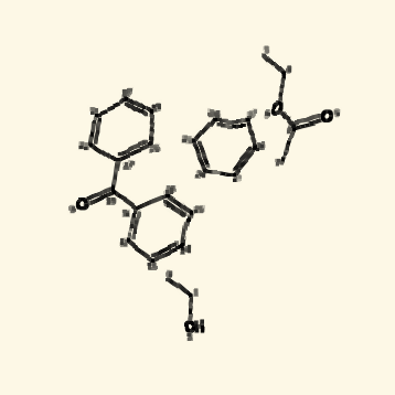 CCO.CCOC(C)=O.O=C(c1ccccc1)c1ccccc1.c1ccccc1